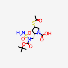 CC(=O)S[C@H]1C[C@@H](CN(C(=O)OC(C)(C)C)S(N)(=O)=O)N(C(=O)O)C1